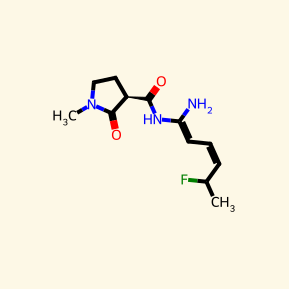 CC(F)/C=C\C=C(/N)NC(=O)[C@@H]1CCN(C)C1=O